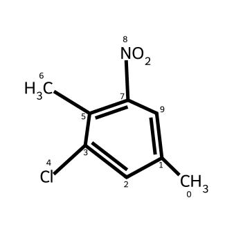 Cc1cc(Cl)c(C)c([N+](=O)[O-])c1